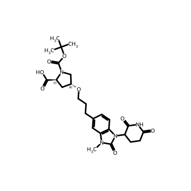 Cn1c(=O)n(C2CCC(=O)NC2=O)c2ccc(CCCO[C@@H]3C[C@@H](C(=O)O)N(C(=O)OC(C)(C)C)C3)cc21